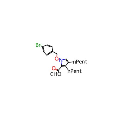 CCCCCc1cn(OCc2ccc(Br)cc2)c(C(=O)C=O)c1CCCCC